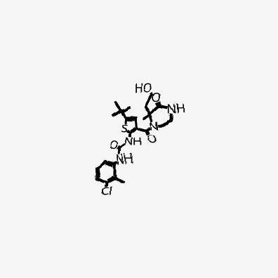 Cc1c(Cl)cccc1NC(=O)Nc1sc(C(C)(C)C)cc1C(=O)N1CCNC(=O)C1(C)CCO